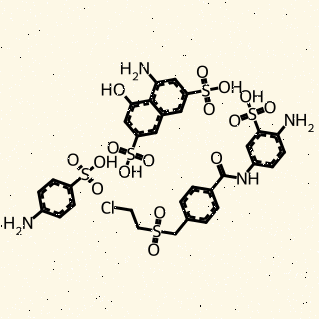 Nc1cc(S(=O)(=O)O)cc2cc(S(=O)(=O)O)cc(O)c12.Nc1ccc(NC(=O)c2ccc(CS(=O)(=O)CCCl)cc2)cc1S(=O)(=O)O.Nc1ccc(S(=O)(=O)O)cc1